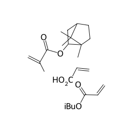 C=C(C)C(=O)OC1CC2CCC1(C)C2(C)C.C=CC(=O)O.C=CC(=O)OCC(C)C